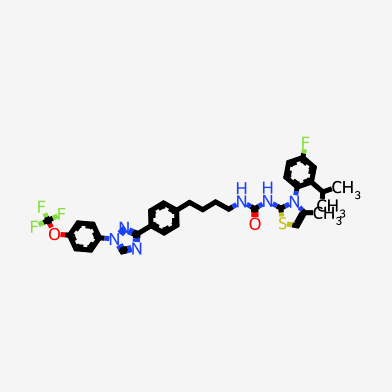 CC1=CSC(NC(=O)NCCCCc2ccc(-c3ncn(-c4ccc(OC(F)(F)F)cc4)n3)cc2)N1c1ccc(F)cc1C(C)C